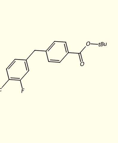 CC(=O)c1ccc(Cc2ccc(C(=O)OC(C)(C)C)cc2)cc1F